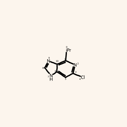 CC(C)c1nc(Cl)cc2[nH]cnc12